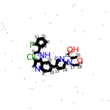 CC(Nc1c(Cl)cnc2ccc(-c3ccc(N4CCOC[C@H]4CO)nc3)cc12)c1ccccc1F